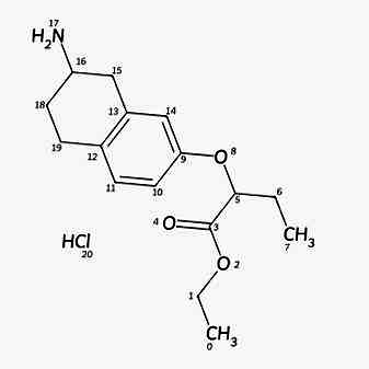 CCOC(=O)C(CC)Oc1ccc2c(c1)CC(N)CC2.Cl